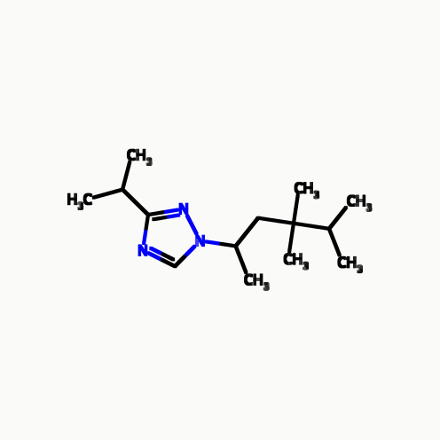 CC(C)c1ncn(C(C)CC(C)(C)C(C)C)n1